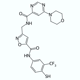 O=C(NCc1cc(C(=O)Nc2ccc(S)c(C(F)(F)F)c2)on1)c1cc(N2CCOCC2)ncn1